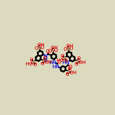 O=C(Nc1ccc(S(=O)(=O)O)c(C(=O)Nc2cc(S(=O)(=O)O)cc3cc(S(=O)(=O)O)cc(S(=O)(=O)O)c23)c1)Nc1ccc(S(=O)(=O)O)c(C(=O)Nc2cc(S(=O)(=O)O)cc3cc(S(=O)(=O)O)cc(S(=O)(=O)O)c23)c1